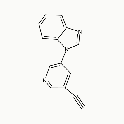 C#Cc1cncc(-n2cnc3ccccc32)c1